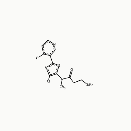 CSCCC(=O)N(C)c1sc(-c2cnccc2F)nc1Cl